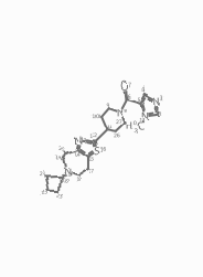 Cn1cncc1C(=O)N1CCC(c2nc3c(s2)CCN(C2CCC2)CC3)CC1